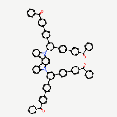 O=C(c1ccccc1)c1ccc(-c2ccc(-c3cc(-c4ccc(-c5ccc(C(=O)c6ccccc6)cc5)cc4)cc(-n4c5ccccc5c5c6c7ccccc7n(-c7cc(-c8ccc(-c9ccc(C(=O)c%10ccccc%10)cc9)cc8)cc(-c8ccc(-c9ccc(C(=O)c%10ccccc%10)cc9)cc8)c7)c6ccc54)c3)cc2)cc1